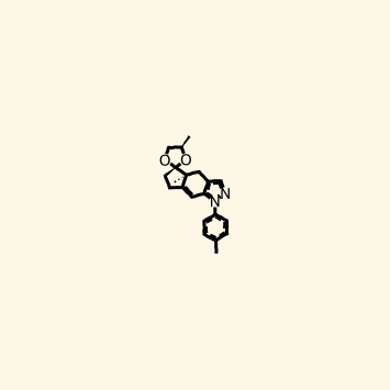 Cc1ccc(-n2ncc3c2C=C2CC[C@]4(OC[C@@H](C)O4)[C@@]2(C)C3)cc1